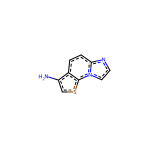 Nc1csc2c1ccc1nccn12